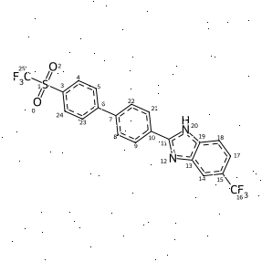 O=S(=O)(c1ccc(-c2ccc(-c3nc4cc(C(F)(F)F)ccc4[nH]3)cc2)cc1)C(F)(F)F